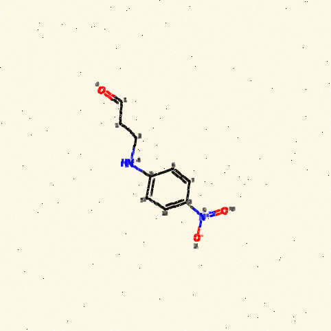 O=CCCNc1ccc([N+](=O)[O-])cc1